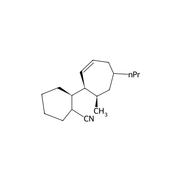 CCCC1CC=C[C@H]([C@@H]2CCCCC2C#N)[C@H](C)C1